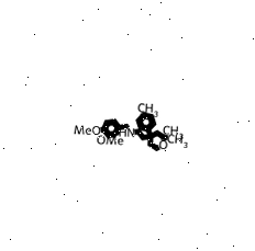 COc1ccc(CNCCC2(c3ccc(C)cc3)CCOC(C)(C)C2)c(OC)c1